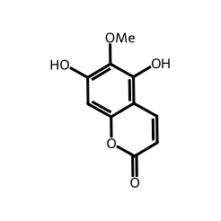 COc1c(O)cc2oc(=O)ccc2c1O